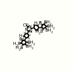 Bc1c(B)c(B)c(-c2ccc(-c3nc(Cl)nc(-c4ccc(-c5c(B)c(B)c(B)c(B)c5B)cc4)n3)cc2)c(B)c1B